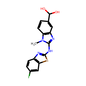 Cn1c(Nc2nc3ccc(F)cc3s2)nc2cc(C(O)O)ccc21